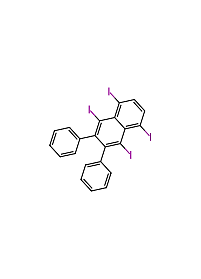 Ic1ccc(I)c2c(I)c(-c3ccccc3)c(-c3ccccc3)c(I)c12